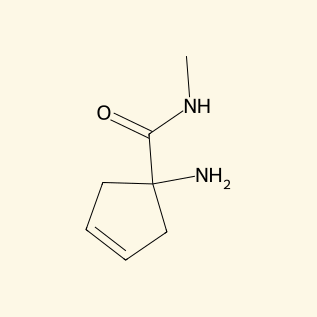 CNC(=O)C1(N)CC=CC1